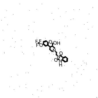 O=C(O)C1CN(CCn2c(=O)[nH]c3ccccc3c2=O)CCC1c1cccc(OC(F)(F)F)c1